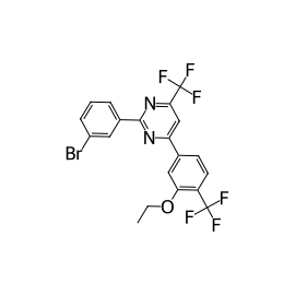 CCOc1cc(-c2cc(C(F)(F)F)nc(-c3cccc(Br)c3)n2)ccc1C(F)(F)F